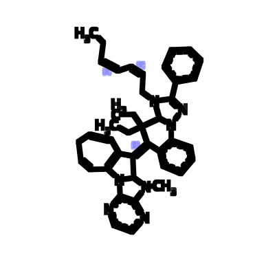 CC/C=C\C=C/CN1C(c2ccccc2)=NN2c3ccccc3/C(=C3/C4=C(C=CCC=C4)N4c5nccnc5N(C)C34)C(CC)(CC)C12